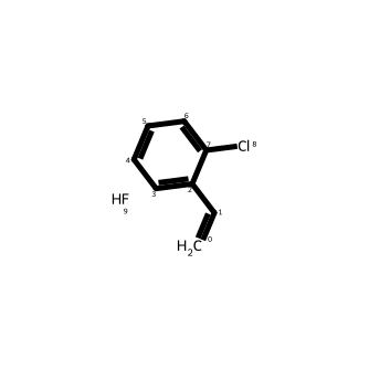 C=Cc1ccccc1Cl.F